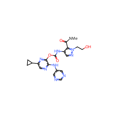 CNC(=O)c1c(NC(=O)Oc2nc(C3CC3)cnc2Nc2cncnc2)cnn1CCO